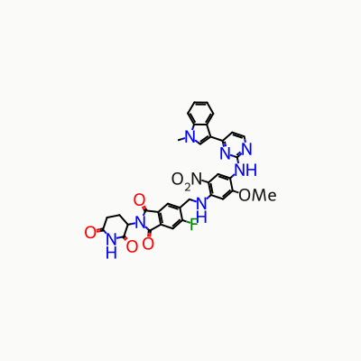 COc1cc(NCc2cc3c(cc2F)C(=O)N(C2CCC(=O)NC2=O)C3=O)c([N+](=O)[O-])cc1Nc1nccc(-c2cn(C)c3ccccc23)n1